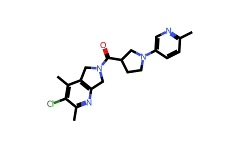 Cc1ccc(N2CCC(C(=O)N3Cc4nc(C)c(Cl)c(C)c4C3)C2)cn1